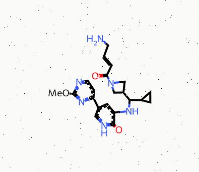 COc1nccc(-c2c[nH]c(=O)c(NC(C3CC3)C3CN(C(=O)/C=C/CN)C3)c2)n1